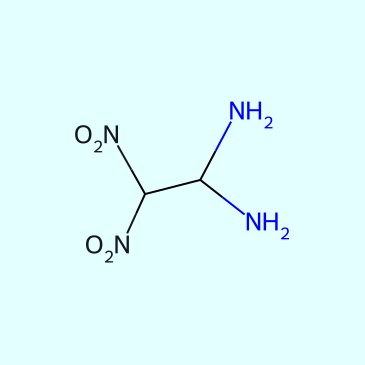 NC(N)C([N+](=O)[O-])[N+](=O)[O-]